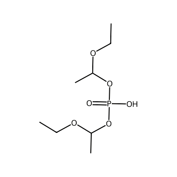 CCOC(C)OP(=O)(O)OC(C)OCC